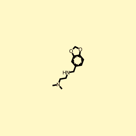 CN(C)CCNCc1ccc2c(c1)OCO2